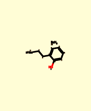 CCCCCCCCc1ccccc1O.[BaH2]